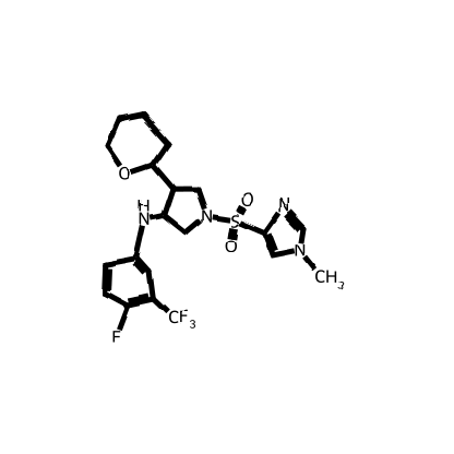 Cn1cnc(S(=O)(=O)N2CC(Nc3ccc(F)c(C(F)(F)F)c3)C(C3CCCCO3)C2)c1